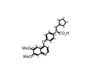 COc1cc2nccc(Oc3ccc(N(CC4CCCC4)C(=O)O)cc3)c2cc1OC